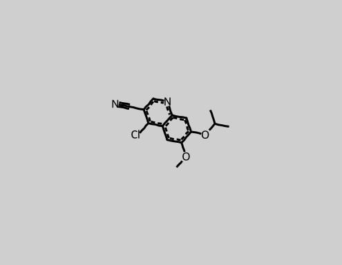 COc1cc2c(Cl)c(C#N)cnc2cc1OC(C)C